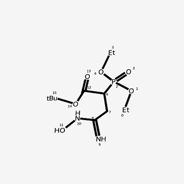 CCOP(=O)(OCC)C(CC(=N)NO)C(=O)OC(C)(C)C